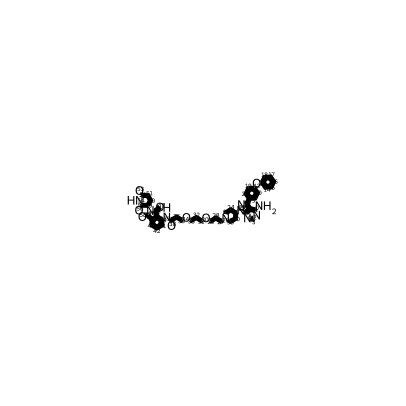 Nc1ncnc2c1c(-c1ccc(Oc3ccccc3)cc1)nn2C1CCN(CCCOCCCOCCC(=O)Nc2cccc3c2C(=O)N(C2CCC(=O)NC2=O)C3=O)CC1